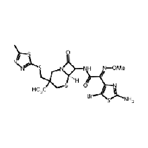 CON=C(C(=O)NC1C(=O)N2CC(CSc3nnc(C)s3)(C(=O)O)CS[C@H]12)c1nc(N)sc1Br